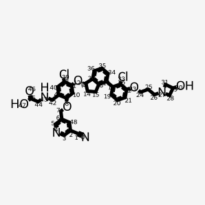 N#Cc1cncc(COc2cc(O[C@H]3CCc4c(-c5cccc(OCCCN6CC(O)C6)c5Cl)cccc43)c(Cl)cc2CNCC(=O)O)c1